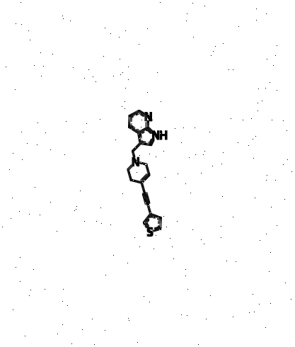 C(#Cc1ccsc1)C1=CCN(Cc2c[nH]c3ncccc23)CC1